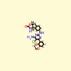 Nc1nc(Nc2ccc3c(c2)[C@@H]2NC(=O)O[C@@H]2C3)nc(-c2cccc3c2OCCO3)c1Cl